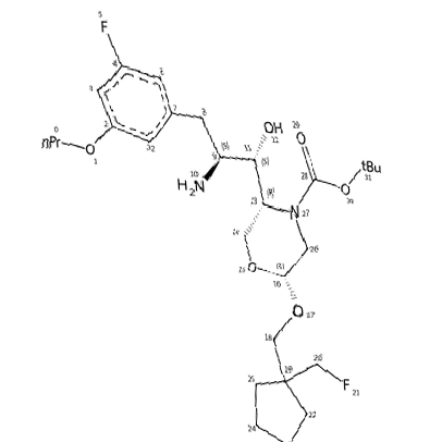 CCCOc1cc(F)cc(C[C@H](N)[C@H](O)[C@H]2CO[C@@H](OCC3(CF)CCCC3)CN2C(=O)OC(C)(C)C)c1